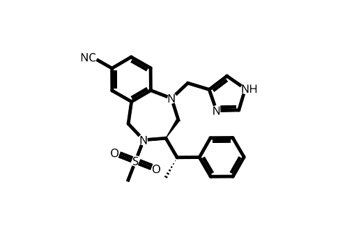 C[C@@H](c1ccccc1)[C@@H]1CN(Cc2c[nH]cn2)c2ccc(C#N)cc2CN1S(C)(=O)=O